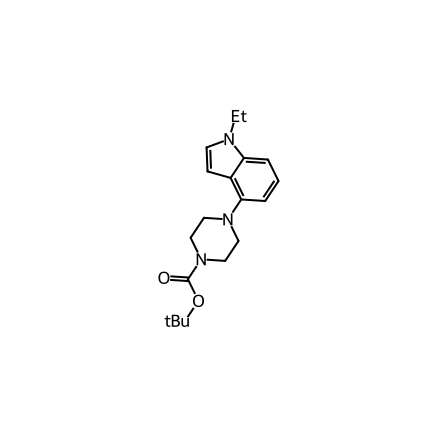 CCn1ccc2c(N3CCN(C(=O)OC(C)(C)C)CC3)cccc21